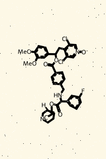 COc1ccc(C(Cc2c(Cl)c[n+]([O-])cc2Cl)OC(=O)c2ccc(CNC(C(=O)O[C@H]3CN4CCC3CC4)c3cccc(F)c3)cc2)cc1OC